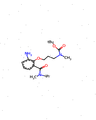 CC(C)N(C)C(=O)c1cccc(N)c1OCCCN(C)C(=O)OC(C)(C)C